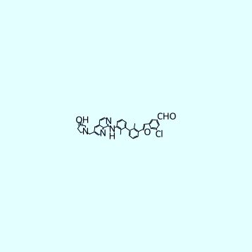 Cc1c(Nc2nccc3cc(CN4CC[C@@H](O)C4)cnc23)cccc1-c1cccc(-c2cc3cc(C=O)cc(Cl)c3o2)c1C